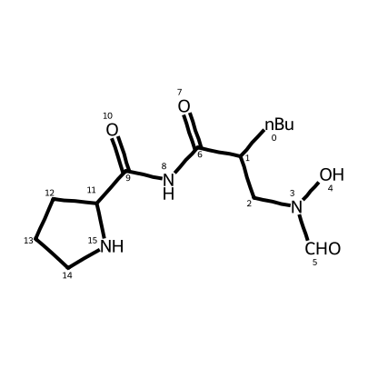 CCCCC(CN(O)C=O)C(=O)NC(=O)C1CCCN1